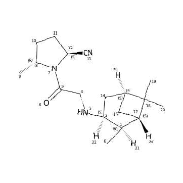 C[C@H]1[C@@H](NCC(=O)N2[C@H](C)CC[C@H]2C#N)C[C@@H]2C[C@@H]1C2(C)C